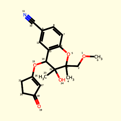 COCC1(C)Oc2ccc(C#N)cc2C(OC2=CC(=O)CC2)C1(C)O